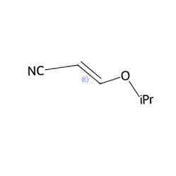 CC(C)O/C=C/C#N